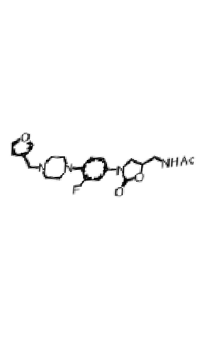 CC(=O)NCC1CN(c2ccc(N3CCN(Cc4ccoc4)CC3)c(F)c2)C(=O)O1